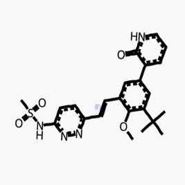 COc1c(/C=C/c2ccc(NS(C)(=O)=O)nn2)cc(-c2ccc[nH]c2=O)cc1C(C)(C)C